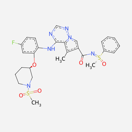 Cc1c(C(=O)N=[S@](C)(=O)c2ccccc2)cn2ncnc(Nc3ccc(F)cc3O[C@@H]3CCCN(S(C)(=O)=O)C3)c12